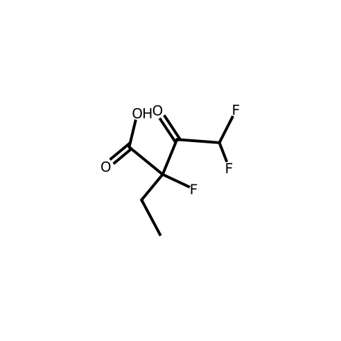 CCC(F)(C(=O)O)C(=O)C(F)F